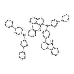 C1=CCCC(c2ccc(N(c3ccc(-c4ccccc4)cc3)c3ccc4c(c3)-c3cccc5ccc(N(c6ccc(C7=CC=CCC7)cc6)c6ccc(C7=C8Nc9ccccc9C8CC=C7)cc6)c(c35)O4)cc2)=C1